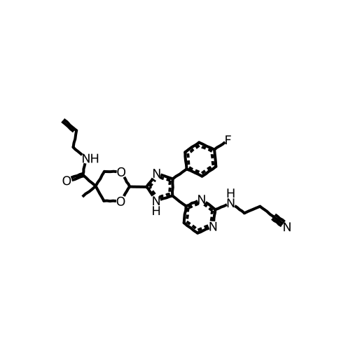 C=CCNC(=O)C1(C)COC(c2nc(-c3ccc(F)cc3)c(-c3ccnc(NCCC#N)n3)[nH]2)OC1